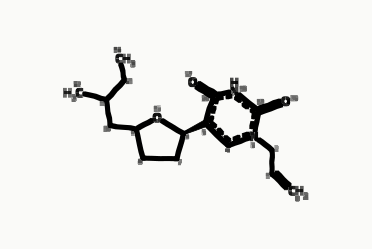 C=CCn1cc([C@H]2CCC(CC(C)CC)O2)c(=O)[nH]c1=O